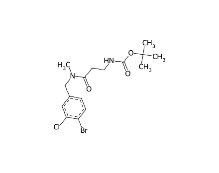 CN(Cc1ccc(Br)c(Cl)c1)C(=O)CCNC(=O)OC(C)(C)C